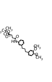 COc1ccc(CC[CH]c2cccc(NC(=O)CCC(=O)OC(C)(C)C)c2)cc1OC